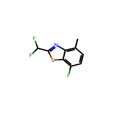 Cc1ccc(F)c2sc(C(F)F)nc12